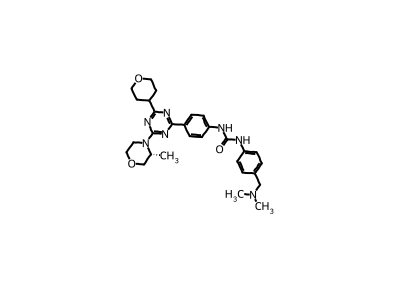 C[C@@H]1COCCN1c1nc(-c2ccc(NC(=O)Nc3ccc(CN(C)C)cc3)cc2)nc(C2CCOCC2)n1